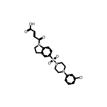 O=C(O)C=CC(=O)N1CCc2cc(S(=O)(=O)N3CCN(c4cccc(Cl)c4)CC3)ccc21